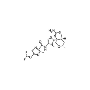 Cc1nc(OC(F)F)cnc1C(=O)NC1=CSC([C@]23CO[C@@H](C)C[C@H]2CSC(N)=N3)N1C